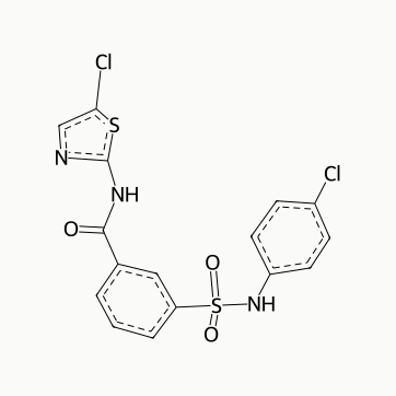 O=C(Nc1ncc(Cl)s1)c1cccc(S(=O)(=O)Nc2ccc(Cl)cc2)c1